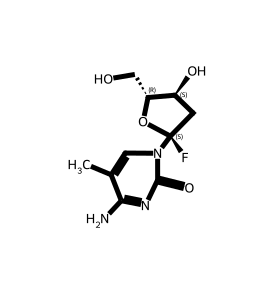 Cc1cn([C@@]2(F)C[C@H](O)[C@@H](CO)O2)c(=O)nc1N